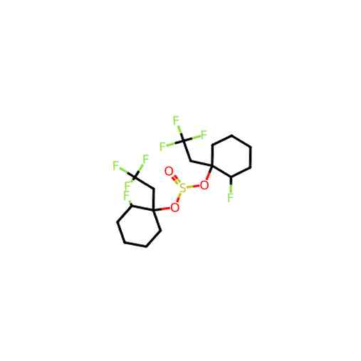 O=S(OC1(CC(F)(F)F)CCCCC1F)OC1(CC(F)(F)F)CCCCC1F